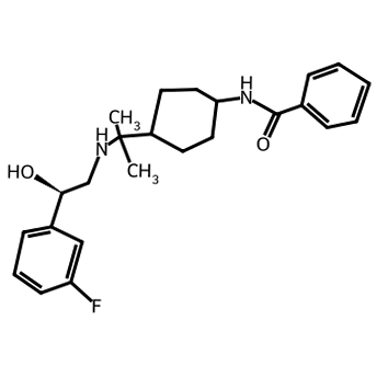 CC(C)(NC[C@H](O)c1cccc(F)c1)C1CCC(NC(=O)c2ccccc2)CC1